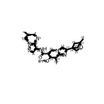 Cc1cnc2c(NC(=O)c3cn4cc(C56COC(C)(C5)C6)nc4c(F)c3OC(C)C)cnn2c1